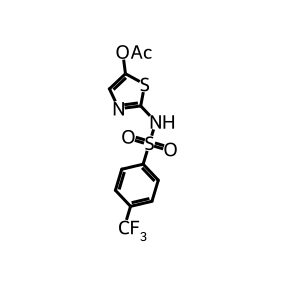 CC(=O)Oc1cnc(NS(=O)(=O)c2ccc(C(F)(F)F)cc2)s1